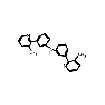 Cc1cccnc1-c1cccc(Nc2cccc(-c3ncccc3C)c2)c1